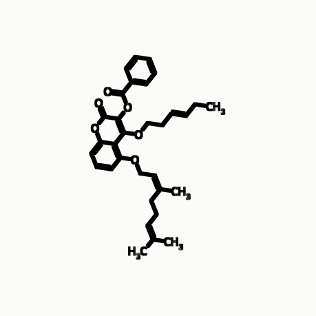 CCC=CCCOc1c(OC(=O)c2ccccc2)c(=O)oc2cccc(OCC=C(C)CCC=C(C)C)c12